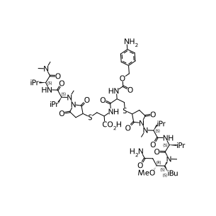 CC[C@H](C)[C@@H]([C@@H](CC(N)=O)OC)N(C)C(=O)[C@@H](NC(=O)[C@H](C(C)C)N(C)N1C(=O)CC(SCC(NC(=O)OCc2ccc(N)cc2)C(=O)NC(CSC2CC(=O)N(N(C)[C@H](C(=O)N[C@H](C(=O)N(C)C)C(C)C)C(C)C)C2=O)C(=O)O)C1=O)C(C)C